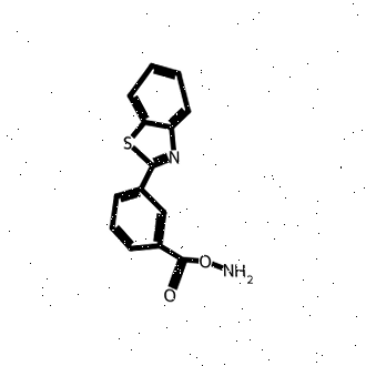 NOC(=O)c1cccc(-c2nc3ccccc3s2)c1